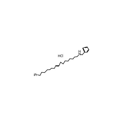 CC(C)CCCCCCCC=CCCCCCCCCNCc1ccccc1.Cl